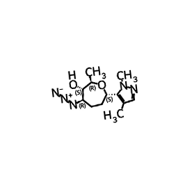 Cc1cnn(C)c1[C@@H]1CC[C@@H](N=[N+]=[N-])[C@H](O)[C@@H](C)O1